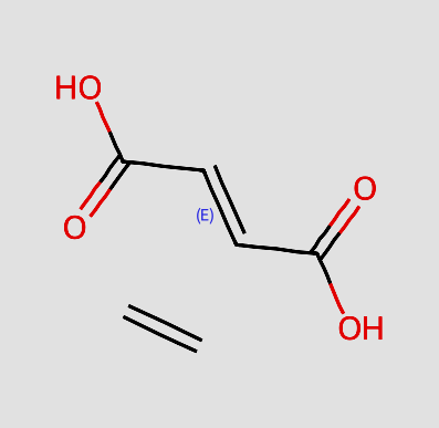 C=C.O=C(O)/C=C/C(=O)O